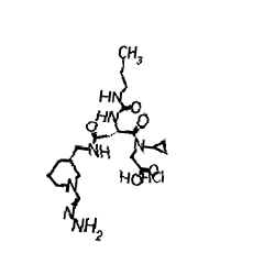 CCCCNC(=O)N[C@@H](CC(=O)NC[C@@H]1CCCN(C=NN)C1)C(=O)N(CC(=O)O)C1CC1.Cl